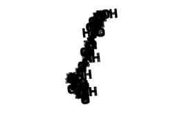 O=C(CN1CCN(CCNC(=O)c2cc3cc(O)ccc3oc2=O)CC1)NCCOCCNc1cccc2c1C(=O)N(C1CCC(=O)NC1=O)C2=O